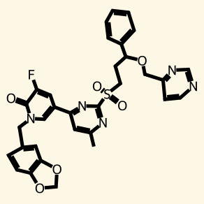 Cc1cc(-c2cc(F)c(=O)n(Cc3ccc4c(c3)OCO4)c2)nc(S(=O)(=O)CCC(OCc2ccncn2)c2ccccc2)n1